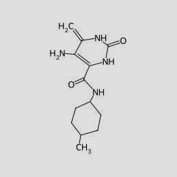 C=C1NC(=O)NC(C(=O)NC2CCC(C)CC2)=C1N